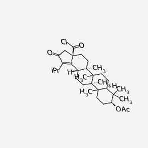 CC(=O)O[C@H]1CCC2(C)[C@@H](CCC3(C)[C@]2(C)CC[C@@H]2C4=C(C(C)C)C(=O)C[C@]4(C(=O)Cl)CC[C@]23C)C1(C)C